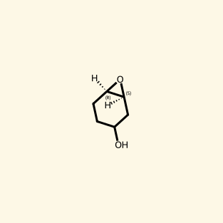 OC1CC[C@H]2O[C@H]2C1